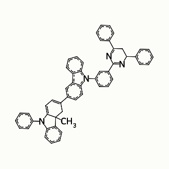 CC12CC(c3ccc4c(c3)c3ccccc3n4-c3cccc(C4=NC(c5ccccc5)CC(c5ccccc5)=N4)c3)=CC=C1N(c1ccccc1)c1ccccc12